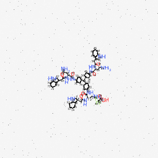 NCC[C@H](NC(=O)Cc1c[nH]c2ccccc12)C(=O)Nc1ccc(C(c2ccc(NC(=O)[C@H](CCN)NC(=O)Cc3c[nH]c4ccccc34)cc2)c2ccc(NC(=O)[C@H](CCN)NC(=O)Cc3c[nH]c4ccccc34)cc2)cc1.O=C(O)C(F)(F)F